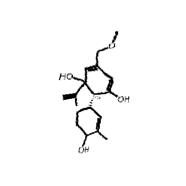 C=C(C)C1(O)C=C(COC)C=C(O)[C@@H]1C1C=C(C)C(O)CC1